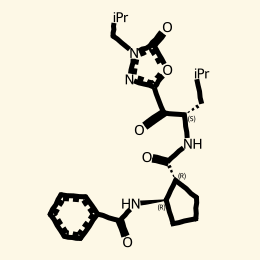 CC(C)C[C@H](NC(=O)[C@@H]1CCC[C@H]1NC(=O)c1ccccc1)C(=O)c1nn(CC(C)C)c(=O)o1